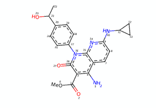 COC(=O)c1c(N)c2ccc(NC3CC3)nc2n(-c2ccc(C(C)O)cc2)c1=O